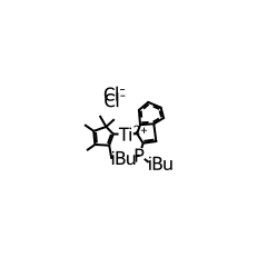 CCC(C)P(C1=Cc2ccccc2[CH]1[Ti+2][C]1=C(C)C(C)=C(C)C1(C)C)C(C)CC.[Cl-].[Cl-]